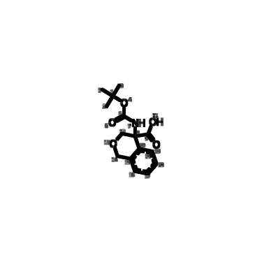 CC(C)(C)OC(=O)NC1(C(=O)O)COCc2ccccc21